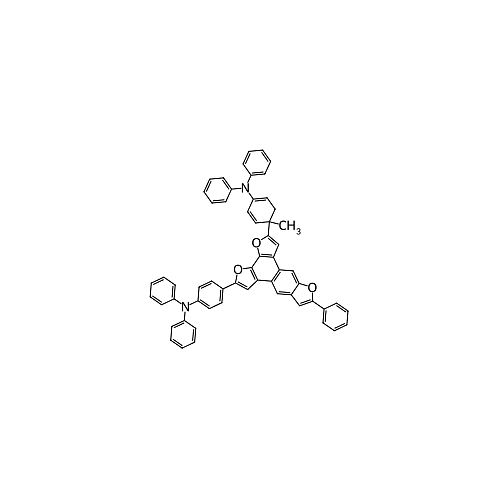 CC1(c2cc3c4cc5oc(-c6ccccc6)cc5cc4c4cc(-c5ccc(N(c6ccccc6)c6ccccc6)cc5)oc4c3o2)C=CC(N(c2ccccc2)c2ccccc2)=CC1